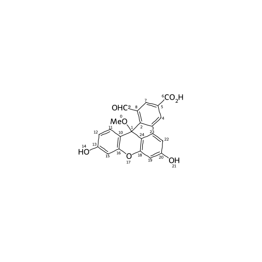 COC1(c2ccc(C(=O)O)cc2C=O)c2ccc(O)cc2Oc2cc(O)ccc21